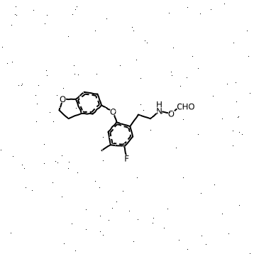 Cc1cc(Oc2ccc3c(c2)CCO3)c(CCNOC=O)cc1F